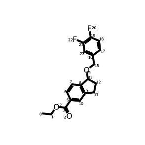 CCOC(=O)c1ccc2c(c1)CCC2OCc1ccc(F)c(F)c1